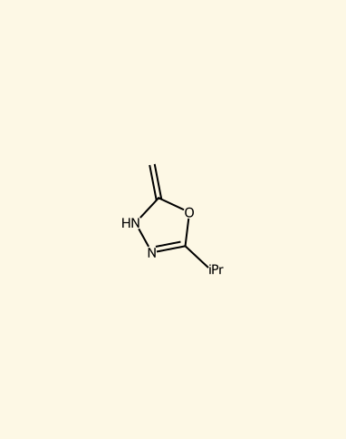 C=C1NN=C(C(C)C)O1